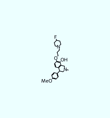 COc1ccc(C2CN(C)Cc3c2ccc(OCCCN2CCC(F)CC2)c3O)cc1